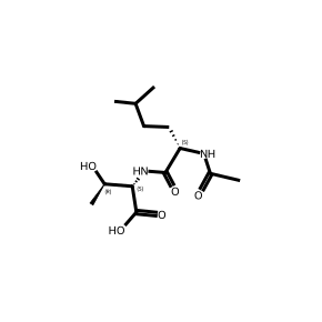 CC(=O)N[C@@H](CCC(C)C)C(=O)N[C@H](C(=O)O)[C@@H](C)O